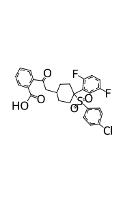 O=C(O)c1ccccc1C(=O)CC1CCC(c2cc(F)ccc2F)(S(=O)(=O)c2ccc(Cl)cc2)CC1